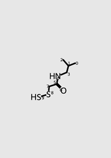 CC(C)CNC(=O)CSS